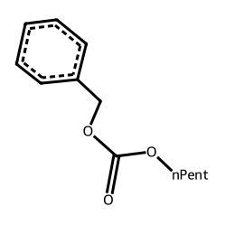 CCCCCOC(=O)OCc1ccccc1